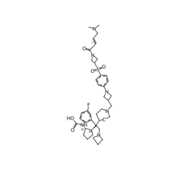 CN(C)C/C=C/C(=O)N1CC(S(=O)(=O)c2ccc(N3CC(CN4CCC(C(CN5CCC5)(c5cccc(F)c5)[C@H]5CCC[C@@H]5NC(=O)O)CC4)C3)cc2)C1